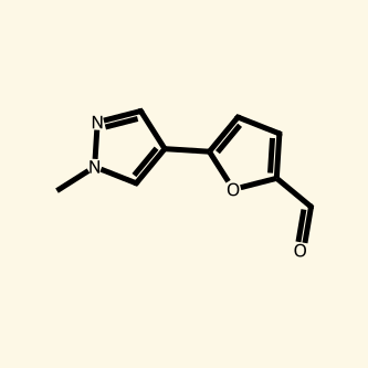 Cn1cc(-c2ccc(C=O)o2)cn1